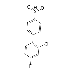 O=[SH](=O)c1ccc(-c2ccc(F)cc2Cl)cc1